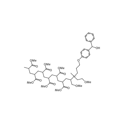 COCC[N+](C)(CCCOc1ccc(C(O)c2ccccc2)cc1)C(COC)CC(CC(CC(CC(CC(CC(C)C(=O)OC)C(=O)OC)C(=O)OC)C(=O)OC)C(=O)OC)C(=O)OC